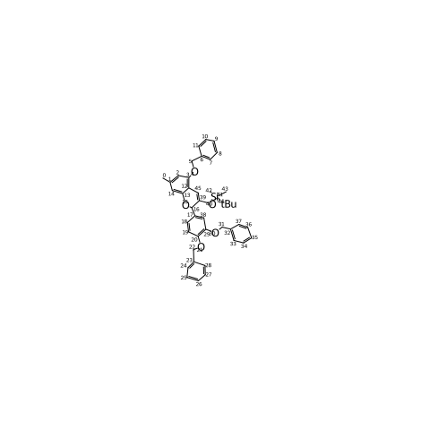 Cc1cc(OCc2ccccc2)c2c(c1)OC(c1ccc(OCc3ccccc3)c(OCc3ccccc3)c1)C(O[Si](C)(C)C(C)(C)C)=C2